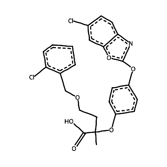 CC(CCOCc1ccccc1Cl)(Oc1ccc(Oc2nc3ccc(Cl)cc3o2)cc1)C(=O)O